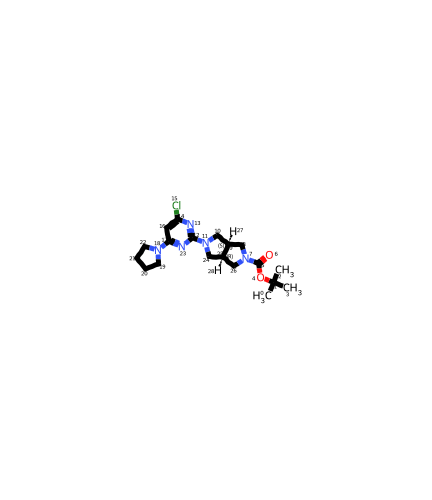 CC(C)(C)OC(=O)N1C[C@@H]2CN(c3nc(Cl)cc(N4CCCC4)n3)C[C@@H]2C1